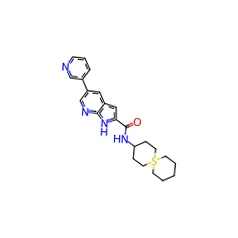 O=C(NC1CCS2(CCCCC2)CC1)c1cc2cc(-c3cccnc3)cnc2[nH]1